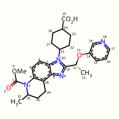 COC(=O)N1c2ccc3c(nc([C@@H](C)Oc4cccnc4)n3C3CCC(C(=O)O)CC3)c2CCC1C